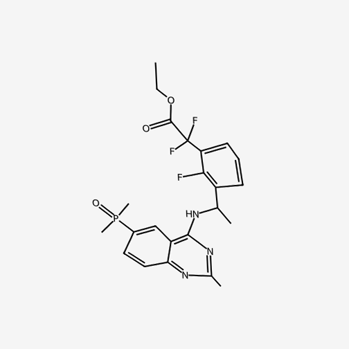 CCOC(=O)C(F)(F)c1cccc(C(C)Nc2nc(C)nc3ccc(P(C)(C)=O)cc23)c1F